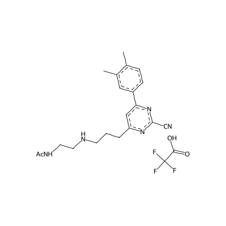 CC(=O)NCCNCCCc1cc(-c2ccc(C)c(C)c2)nc(C#N)n1.O=C(O)C(F)(F)F